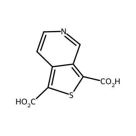 O=C(O)c1sc(C(=O)O)c2cnccc12